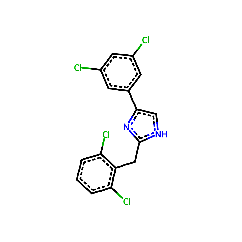 Clc1cc(Cl)cc(-c2c[nH]c(Cc3c(Cl)cccc3Cl)n2)c1